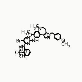 COc1ccc(Cn2ncc3c2CCN(C)c2cc(OC)c(Nc4ncc(Br)c(Nc5ccccc5P(C)(C)=O)n4)cc2-3)cc1